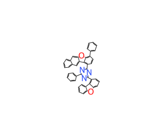 c1ccc(-c2nc(-c3cccc4oc5ccccc5c34)nc(-c3ccc(-c4ccccc4)c4oc5cc6ccccc6cc5c34)n2)cc1